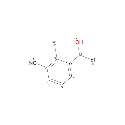 CCC(O)c1cccc(C#N)c1F